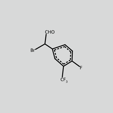 O=CC(Br)c1ccc(F)c(C(F)(F)F)c1